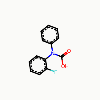 O=C(O)N(c1ccccc1)c1ccccc1F